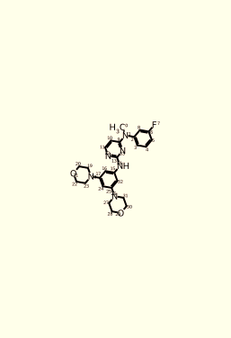 CN(c1cccc(F)c1)c1ccnc(Nc2cc(N3CCOCC3)cc(N3CCOCC3)c2)n1